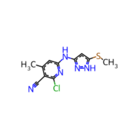 CSc1cc(Nc2cc(C)c(C#N)c(Cl)n2)n[nH]1